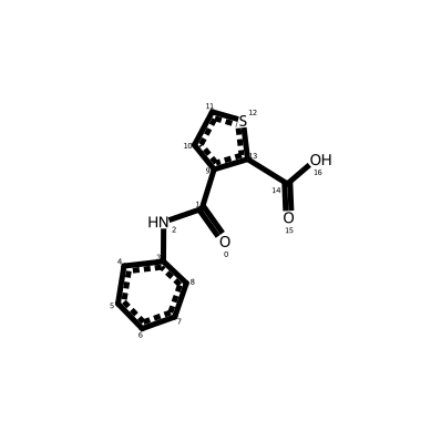 O=C(Nc1ccccc1)c1ccsc1C(=O)O